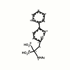 CC(=O)NC(Cc1ccc(-c2ccccn2)nc1)(C(=O)O)C(=O)O